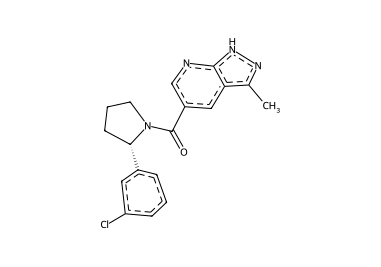 Cc1n[nH]c2ncc(C(=O)N3CCC[C@H]3c3cccc(Cl)c3)cc12